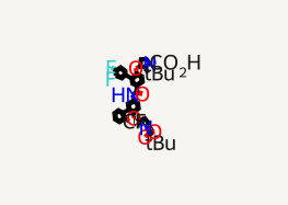 CC(C)(C)OC(=O)N1CC[C@H](Oc2ccc(NC(=O)c3ccc(OC4CCN(C(=O)O)C4C(C)(C)C)c(-c4ccc(F)c(F)c4)c3)cc2-c2ccccc2C(F)(F)F)C1